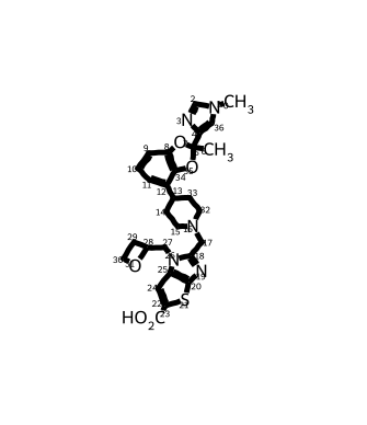 Cn1cnc(C2(C)Oc3cccc(C4CCN(Cc5nc6sc(C(=O)O)cc6n5CC5CCO5)CC4)c3O2)c1